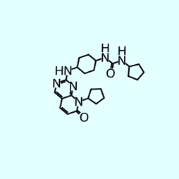 O=C(NC1CCCC1)NC1CCC(Nc2ncc3ccc(=O)n(C4CCCC4)c3n2)CC1